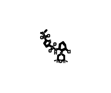 C[C@@H]1CN(c2c(Cl)cccc2NS(=O)(=O)c2ccc(S(=O)(=O)N(C)C)s2)C[C@H](C)O1